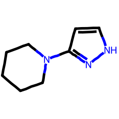 c1cc(N2CCCCC2)n[nH]1